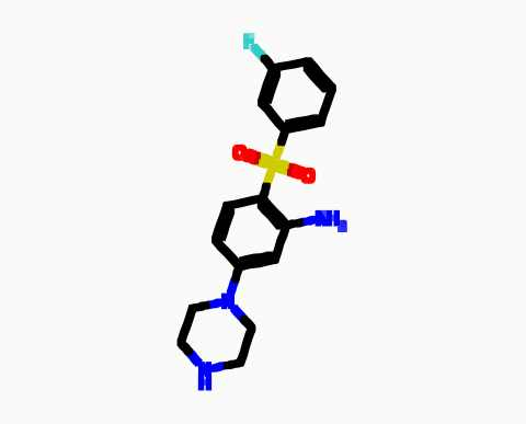 Nc1cc(N2CCNCC2)ccc1S(=O)(=O)c1cccc(F)c1